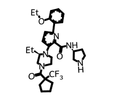 CCOc1ccccc1-c1ccc(N2CCN(C(=O)C3(C(F)(F)F)CCCC3)C[C@H]2CC)c(C(=O)N[C@@H]2CCNC2)n1